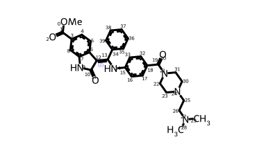 COC(=O)c1ccc2c(c1)NC(=O)/C2=C(\Nc1ccc(C(=O)N2CCN(CCN(C)C)CC2)cc1)c1ccccc1